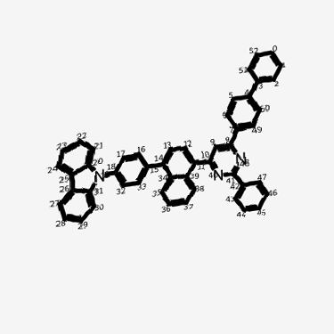 c1ccc(-c2ccc(-c3cc(-c4ccc(-c5ccc(-n6c7ccccc7c7ccccc76)cc5)c5ccccc45)nc(-c4ccccc4)n3)cc2)cc1